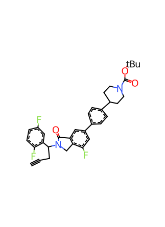 C#CCC(c1cc(F)ccc1F)N1Cc2c(F)cc(-c3ccc(C4CCN(C(=O)OC(C)(C)C)CC4)cc3)cc2C1=O